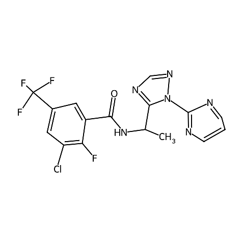 CC(NC(=O)c1cc(C(F)(F)F)cc(Cl)c1F)c1ncnn1-c1ncccn1